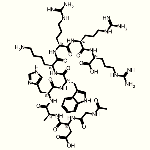 CC(=O)NCC(=O)N[C@@H](CC(=O)O)C(=O)N[C@@H](C)C(=O)N[C@@H](Cc1c[nH]cn1)C(=O)N[C@@H](Cc1c[nH]c2ccccc12)C(=O)N[C@@H](CCCCN)C(=O)N[C@@H](CCCNC(=N)N)C(=O)N[C@@H](CCCNC(=N)N)C(=O)N[C@@H](CCCNC(=N)N)C(=O)O